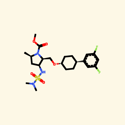 COC(=O)N1[C@H](C)C[C@H](NS(=O)(=O)N(C)C)[C@@H]1CO[C@H]1CC[C@@H](c2cc(F)cc(F)c2)CC1